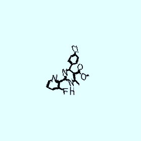 COC(=O)C1=C(C)NC(c2ncccc2F)=NC1c1ccc(Cl)cc1